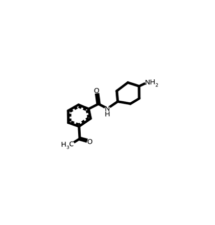 CC(=O)c1cccc(C(=O)NC2CCC(N)CC2)c1